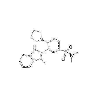 Cc1c(-c2cc(S(=O)(=O)N(C)C)ccc2N2CCCC2)[nH]c2ccccc12